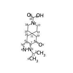 CC(C)n1ncc2c1C(=O)CC1(CCN(C(=O)O)CC1)C2